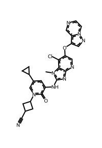 Cn1c(Nc2cc(C3CC3)cn(C3CC(C#N)C3)c2=O)nc2ncc(Oc3cnn4ccncc34)c(Cl)c21